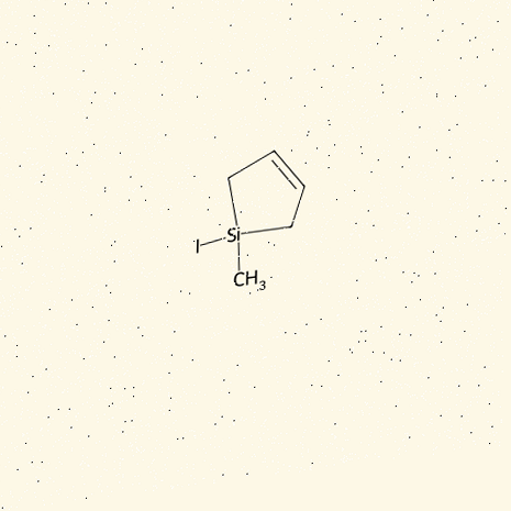 C[Si]1(I)CC=CC1